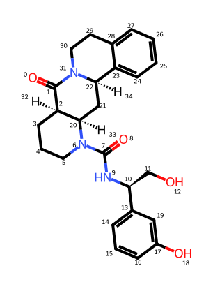 O=C1[C@@H]2CCCN(C(=O)N[C@@H](CO)c3cccc(O)c3)[C@@H]2C[C@@H]2c3ccccc3CCN12